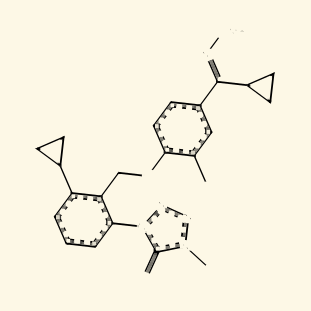 CON=C(c1ccc(OCc2c(C3CC3)cccc2-n2nnn(C)c2=O)c(C)c1)C1CC1